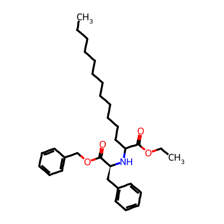 CCCCCCCCCCCCC(N[C@@H](Cc1ccccc1)C(=O)OCc1ccccc1)C(=O)OCC